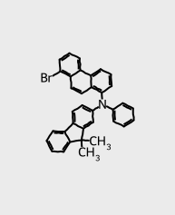 CC1(C)c2ccccc2-c2ccc(N(c3ccccc3)c3cccc4c3ccc3c(Br)cccc34)cc21